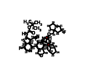 CC(C)(C)OC(=O)Nc1sc2c(F)cnc(-c3c4c(c5c(C6C7CCC6CN(C(=O)O)C7)nc(OC[C@@]67CCCN6C[C@H](F)C7)nc5c3F)COC4)c2c1C#N